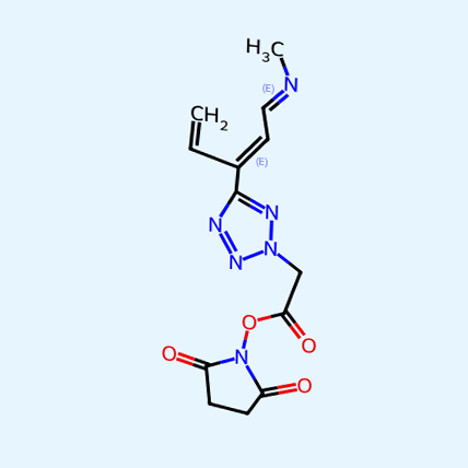 C=C/C(=C\C=N\C)c1nnn(CC(=O)ON2C(=O)CCC2=O)n1